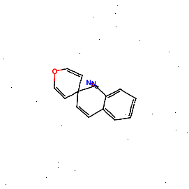 C1=CC2(C=CO1)C=Cc1ccccc1C21C=NC=N1